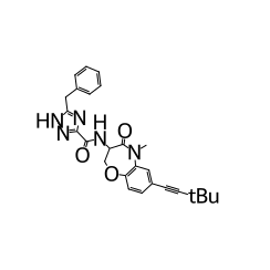 CN1C(=O)C(NC(=O)c2n[nH]c(Cc3ccccc3)n2)COc2ccc(C#CC(C)(C)C)cc21